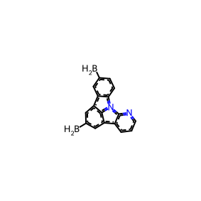 Bc1ccc2c(c1)c1cc(B)cc3c4cccnc4n2c13